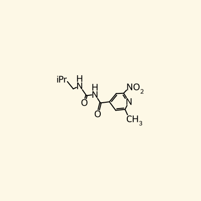 Cc1cc(C(=O)NC(=O)NCC(C)C)cc([N+](=O)[O-])n1